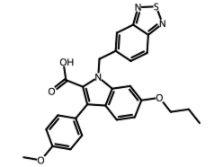 CCCOc1ccc2c(-c3ccc(OC)cc3)c(C(=O)O)n(Cc3ccc4nsnc4c3)c2c1